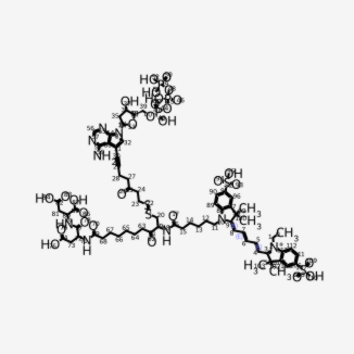 CC[N+]1=C(/C=C/C=C/C=C2/N(CCCCCC(=O)NC(CSSCCC(=O)CCC#Cc3cn([C@H]4CC(O)[C@@H](COP(=O)(O)OP(=O)(O)OP(=O)(O)O)O4)c4ncnc(N)c34)C(=O)CCCCCCC(=O)NC(CC(=O)O)C(=O)NC(CC(=O)O)C(=O)O)c3ccc(S(=O)(=O)O)cc3C2(C)C)C(C)(C)c2cc(S(=O)(=O)O)ccc21